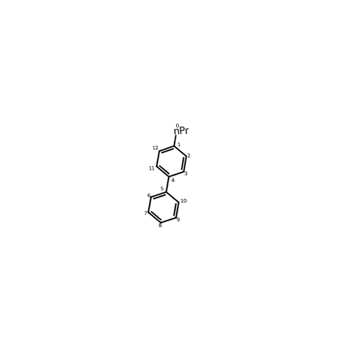 CCCc1ccc(-c2ccccc2)cc1